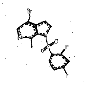 Cc1ncc(Br)c2ccn(S(=O)(=O)c3ccc(F)cc3F)c12